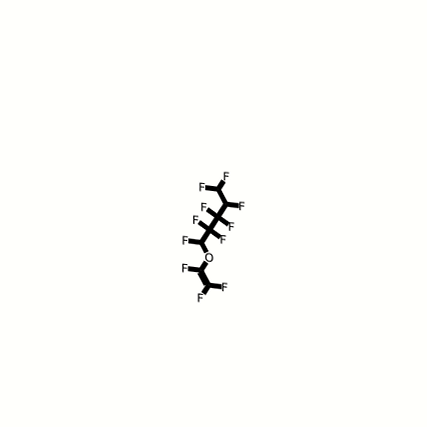 FC(F)=C(F)OC(F)C(F)(F)C(F)(F)C(F)C(F)F